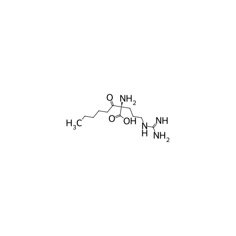 CCCCCC(=O)[C@](N)(CCCNC(=N)N)C(=O)O